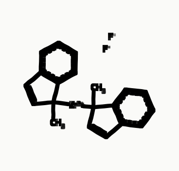 C[C]1([Zr+2][C]2(C)C=Cc3ccccc32)C=Cc2ccccc21.[F-].[F-]